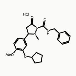 COc1ccc(C2CC(=O)N(C(=O)NCc3ccccc3)N2C)cc1OC1CCCC1.Cl